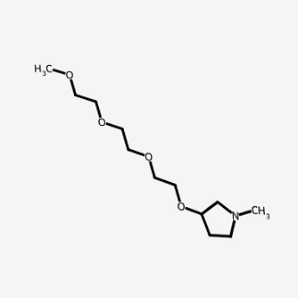 COCCOCCOCCOC1CCN(C)C1